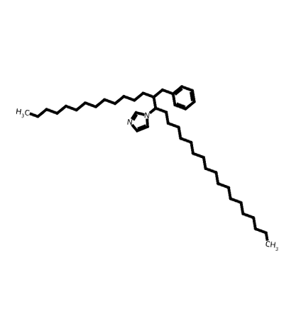 CCCCCCCCCCCCCCCCCCC(C(CCCCCCCCCCCCC)Cc1ccccc1)n1ccnc1